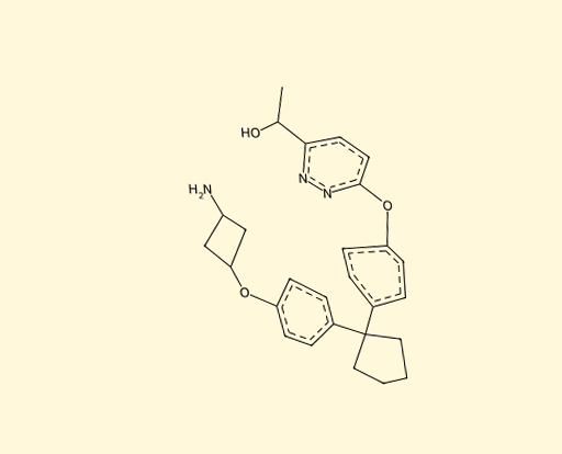 CC(O)c1ccc(Oc2ccc(C3(c4ccc(OC5CC(N)C5)cc4)CCCC3)cc2)nn1